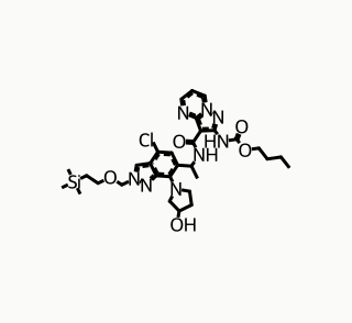 CCCCOC(=O)Nc1nn2cccnc2c1C(=O)NC(C)c1cc(Cl)c2cn(COCC[Si](C)(C)C)nc2c1N1CCC(O)C1